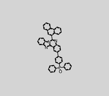 O=P(c1ccccc1)(c1ccccc1)c1ccc(-c2ccc3nc(-c4cc5ccccc5c5ccccc45)n4c5ccccc5nc4c3c2)cc1